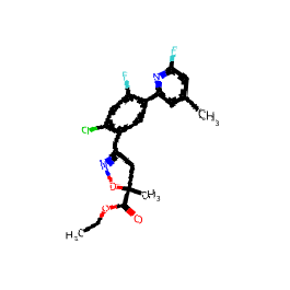 CCOC(=O)C1(C)CC(c2cc(-c3cc(C)cc(F)n3)c(F)cc2Cl)=NO1